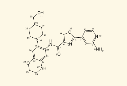 Nc1cc(-c2nc(C(=O)Nc3cc4c(cc3N3CCC(CO)CC3)OCCN4)co2)ccn1